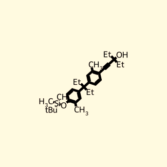 CCC(O)(C#Cc1ccc(C(CC)(CC)c2ccc(O[Si](C)(C)C(C)(C)C)c(C)c2)cc1C)CC